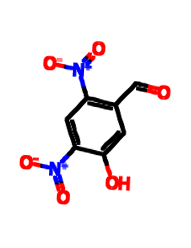 O=Cc1cc(O)c([N+](=O)[O-])cc1[N+](=O)[O-]